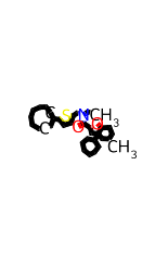 CCN(CC1CCC(C2CCCCCCCCC2)S1)C(=O)C1CC2(C3CCCCCC3)CC(C)CCC2O1